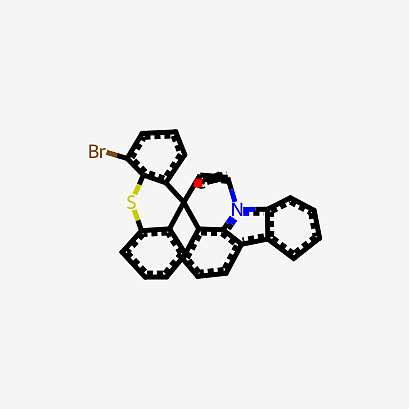 Brc1cccc2c1Sc1ccccc1C21c2ccccc2-n2c3ccccc3c3cccc1c32